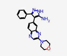 Nc1[nH]nc(-c2ccccc2)c1-c1ccc2ncc(N3CCOCC3)nc2c1